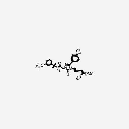 COC(=O)CCCn1c(-c2ccc(Cl)cc2)nn(CC(=O)NC(C)(C)c2cccc(C(F)(F)F)c2)c1=O